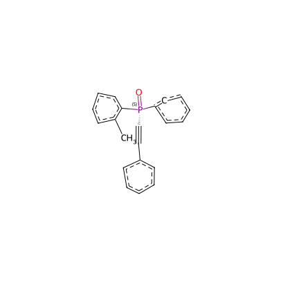 Cc1ccccc1[P@](=O)(C#Cc1ccccc1)c1ccccc1